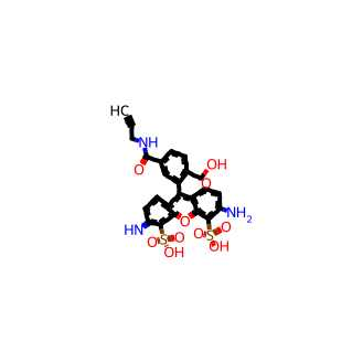 C#CCNC(=O)c1ccc(C(=O)O)c(-c2c3ccc(=N)c(S(=O)(=O)O)c-3oc3c(S(=O)(=O)O)c(N)ccc23)c1